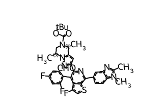 Cc1nc2cc(-c3nc(-c4cc5n(n4)[C@@H](C)CN(C(=O)OC(C)(C)C)[C@@H]5C)c(-c4c(F)cc(F)cc4C=O)c4c(F)csc34)ccc2n1C